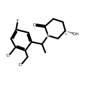 CC(c1cc(F)cc(Cl)c1CCl)N1C[C@@H](O)CCC1=O